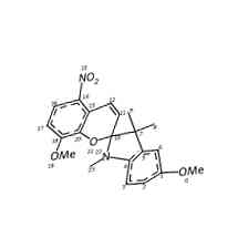 COc1ccc2c(c1)C(C)(C)C1(C=Cc3c([N+](=O)[O-])ccc(OC)c3O1)N2C